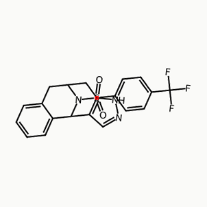 O=S(=O)(c1ccc(C(F)(F)F)cc1)N1C2Cc3ccccc3C1c1cn[nH]c1C2